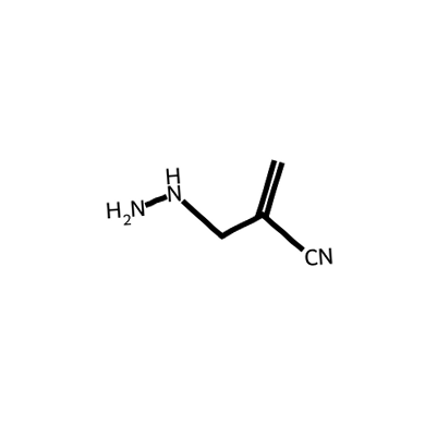 C=C(C#N)CNN